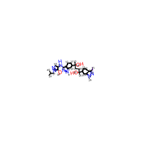 COc1c(Nc2nn(C)c3cc(C(C)(O)CCC(C)(O)c4ccc5c(I)nn(C)c5c4)ccc23)cnn1CC(C)C